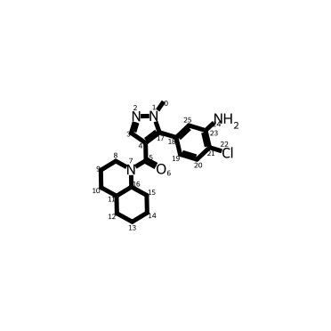 Cn1ncc(C(=O)N2CCCC3CCCCC32)c1-c1ccc(Cl)c(N)c1